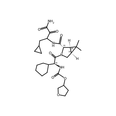 CC1(C)[C@@H]2[C@@H](C(=O)NC(CC3CC3)C(=O)C(N)=O)N(C(=O)[C@@H](NC(=O)OC3CCOC3)C3CCCCC3)C[C@@H]21